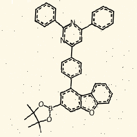 CC1(C)OB(c2cc(-c3ccc(-c4cc(-c5ccccc5)nc(-c5ccccc5)n4)cc3)c3c(c2)oc2ccccc23)OC1(C)C